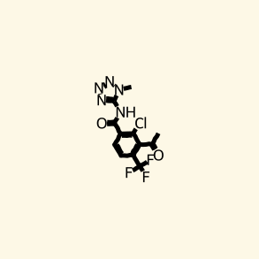 CC(=O)c1c(C(F)(F)F)ccc(C(=O)Nc2nnnn2C)c1Cl